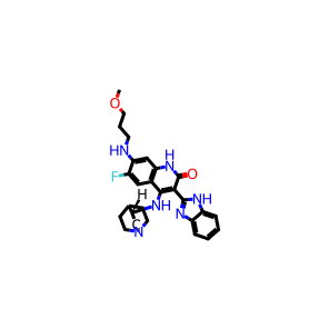 COCCCNc1cc2[nH]c(=O)c(-c3nc4ccccc4[nH]3)c(N[C@@H]3CN4CCC3CC4)c2cc1F